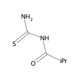 CC(C)C(=O)NC(N)=S